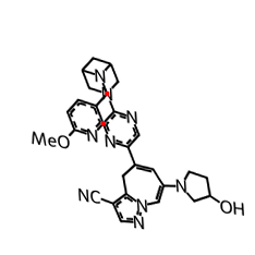 COc1ccc(CN2C3CC2CN(c2cnc(C4=CC(N5CCC(O)C5)=Cn5ncc(C#N)c5C4)cn2)C3)cn1